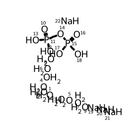 O.O.O.O.O.O.O.O.O.O.O=P(O)(O)OP(=O)(O)O.[NaH].[NaH].[NaH].[NaH]